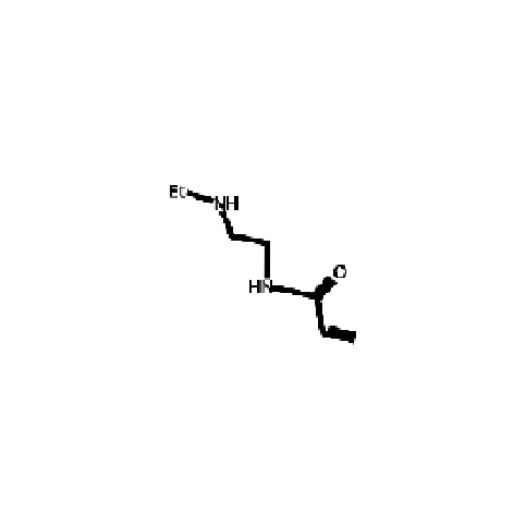 C=CC(=O)NCCNCC